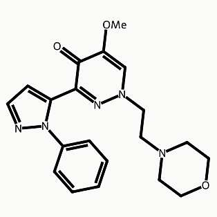 COc1cn(CCN2CCOCC2)nc(-c2ccnn2-c2ccccc2)c1=O